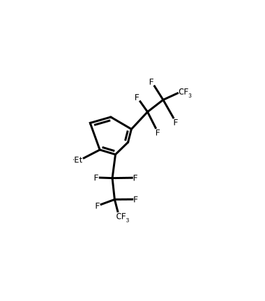 C[CH]c1ccc(C(F)(F)C(F)(F)C(F)(F)F)cc1C(F)(F)C(F)(F)C(F)(F)F